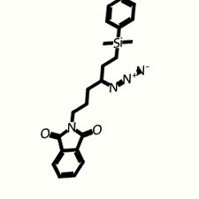 C[Si](C)(CCC(CCCN1C(=O)c2ccccc2C1=O)N=[N+]=[N-])c1ccccc1